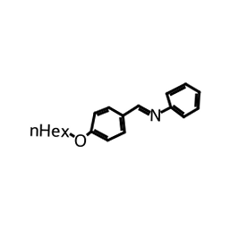 CCCCCCOc1ccc(C=Nc2ccccc2)cc1